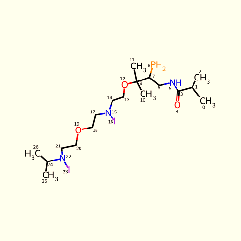 CC(C)C(=O)NCC(P)C(C)(C)OCCN(I)CCOCCN(I)C(C)C